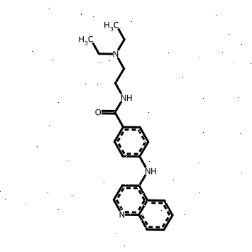 CCN(CC)CCNC(=O)c1ccc(Nc2ccnc3ccccc23)cc1